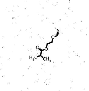 CC(C)C(=O)OCCOC=S